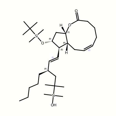 CCCCC[C@@H](/C=C/[C@@H]1[C@H]2C/C=C\CCCC(=O)O[C@H]2C[C@H]1O[Si](C)(C)C(C)(C)C)CC(C)(C)[Si](C)(C)O